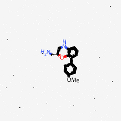 COc1ccc(-c2cccc3c2O[C@H](CN)CN3)cc1